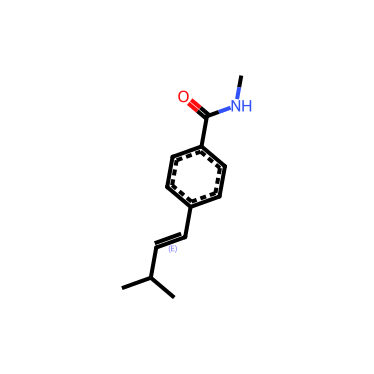 CNC(=O)c1ccc(/C=C/C(C)C)cc1